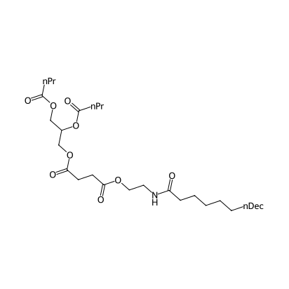 CCCCCCCCCCCCCCCC(=O)NCCOC(=O)CCC(=O)OCC(COC(=O)CCC)OC(=O)CCC